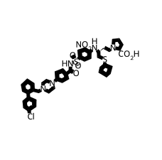 O=C(NS(=O)(=O)c1ccc(N[C@H](CCN2CCC[C@H]2C(=O)O)CSc2ccccc2)c([N+](=O)[O-])c1)c1ccc(N2CCN(Cc3ccccc3-c3ccc(Cl)cc3)CC2)cc1